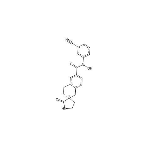 N#Cc1cccc(N(O)C(=O)c2ccc3c(c2)CC[C@@]2(CCNC2=O)C3)c1